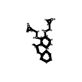 CC(=Cc1ccccc1)c1cccc(OCC2CO2)c1OCC1CO1